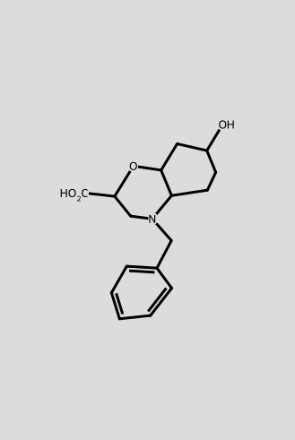 O=C(O)C1CN(Cc2ccccc2)C2CCC(O)CC2O1